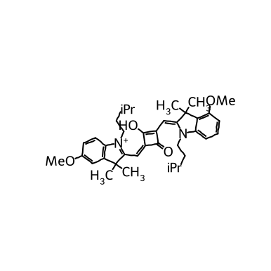 COc1ccc2c(c1)C(C)(C)C(/C=C1/C(=O)C(/C=C3\N(CCC(C)C)c4cccc(OC)c4C3(C)C)=C1O)=[N+]2CCC(C)C